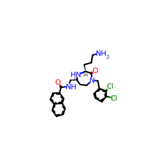 NCCC[C@@H]1N[C@H](CNC(=O)c2ccc3ccccc3c2)CCN(Cc2cccc(Cl)c2Cl)C1=O